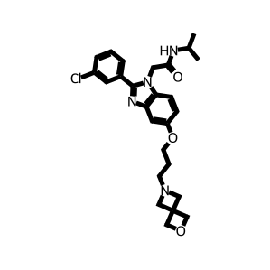 CC(C)NC(=O)Cn1c(-c2cccc(Cl)c2)nc2cc(OCCCN3CC4(COC4)C3)ccc21